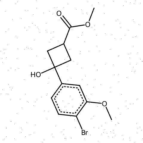 COC(=O)C1CC(O)(c2ccc(Br)c(OC)c2)C1